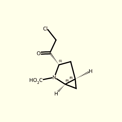 O=C(CCl)[C@@H]1C[C@H]2C[C@H]2N1C(=O)O